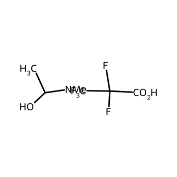 CNC(C)O.O=C(O)C(F)(F)C(F)(F)F